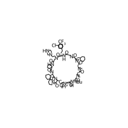 CC[C@H](C)[C@@H]1NC(=O)[C@H](CC(C)C)N(C)C(=O)CC(C(=O)N2CCCCC2)N(C)C(=O)C(C2CCCCC2)N(C)C(=O)C2(CCCC2)NC(=O)CN(CCN2CCNCC2)C(=O)[C@H](CCc2ccc(C(F)(F)F)c(Cl)c2)NC(=O)CN(C)C(=O)[C@H](CC2CCCCC2)N(C)C(=O)CN(C)C(=O)CN(C)C1=O